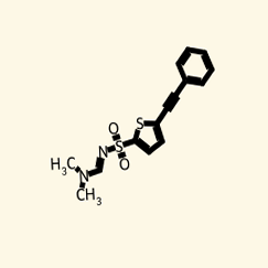 CN(C)/C=N/S(=O)(=O)c1ccc(C#Cc2ccccc2)s1